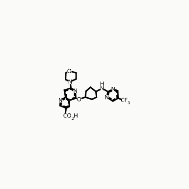 O=C(O)c1cnc2cc(N3CCOCC3)nc(OC3CCC(Nc4ncc(C(F)(F)F)cn4)CC3)c2c1